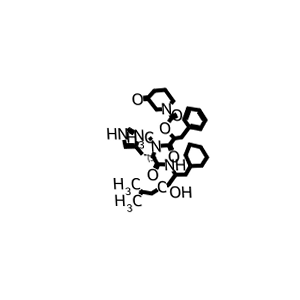 CC(C)CCC(O)C(CC1CCCCC1)NC(=O)[C@H](Cc1c[nH]cn1)N(C)C(=O)C(Cc1ccccc1)OC(=O)N1CCCC(=O)C1